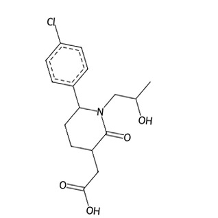 CC(O)CN1C(=O)C(CC(=O)O)CCC1c1ccc(Cl)cc1